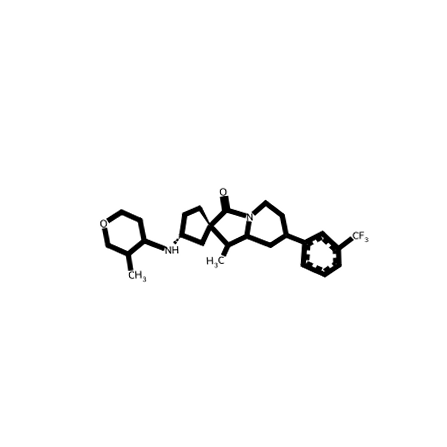 CC1COCCC1N[C@@H]1CC[C@@]2(C1)C(=O)N1CCC(c3cccc(C(F)(F)F)c3)CC1C2C